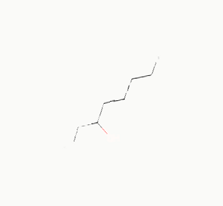 CC(C)CCCCC(O)CC=O